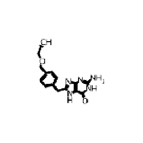 C#CCOCc1ccc(Cc2nc3nc(N)[nH]c(=O)c3[nH]2)cc1